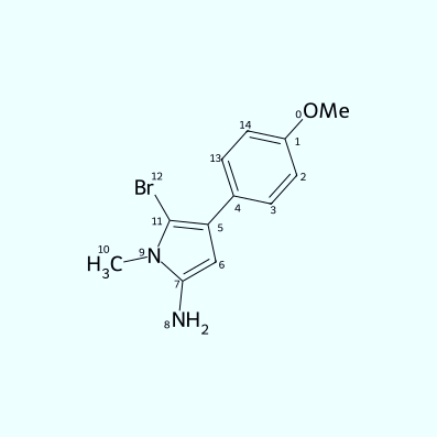 COc1ccc(-c2cc(N)n(C)c2Br)cc1